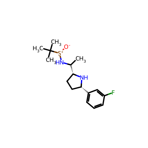 CC(N[S@@+]([O-])C(C)(C)C)[C@H]1CC[C@@H](c2cccc(F)c2)N1